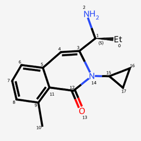 CC[C@H](N)c1cc2cccc(C)c2c(=O)n1C1CC1